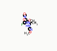 COc1ccc(NCC(NC(=O)C(CC(=O)N2CCOCC2)c2ccc(F)cc2)C(C)C)cn1